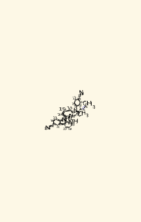 C#C[C@]1(C)C(/C=C\C)c2cc(C#N)ccc2N1c1cccc(-n2c3c(c4cc(C#N)ccc42)C=CCN3)n1